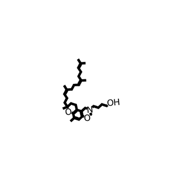 CC(C)=CCCC(C)=CCCC(C)=CCCC1(C)CCc2c3c(cc(C)c2O1)OCN(CCCCO)C3